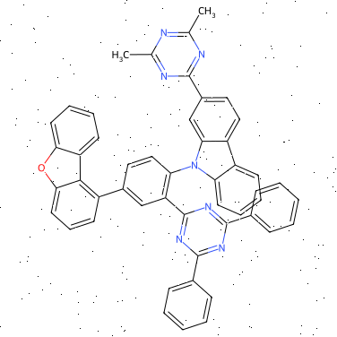 Cc1nc(C)nc(-c2ccc3c4ccccc4n(-c4ccc(-c5cccc6oc7ccccc7c56)cc4-c4nc(-c5ccccc5)nc(-c5ccccc5)n4)c3c2)n1